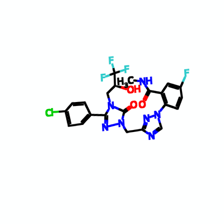 CNC(=O)c1cc(F)ccc1-n1cnc(Cn2nc(-c3ccc(Cl)cc3)n(C[C@H](O)C(F)(F)F)c2=O)n1